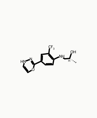 C[C@@H](O)CNc1ccc(C2=NNC=CO2)cc1C(F)(F)F